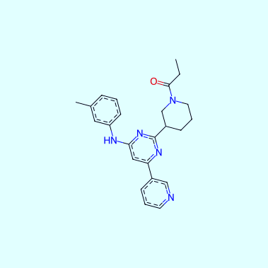 CCC(=O)N1CCCC(c2nc(Nc3cccc(C)c3)cc(-c3cccnc3)n2)C1